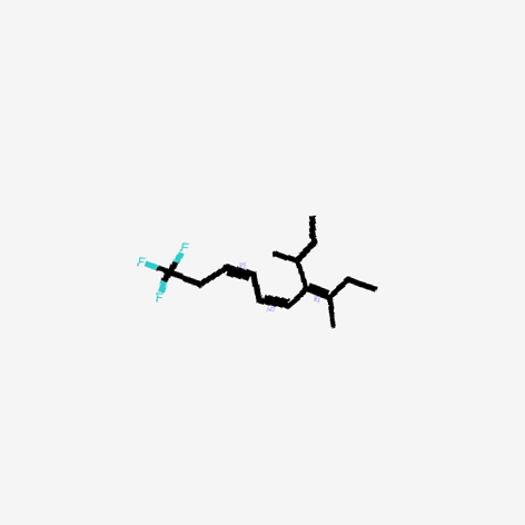 CC/C(C)=C(/C=C\C=C/CC(F)(F)F)C(C)CC